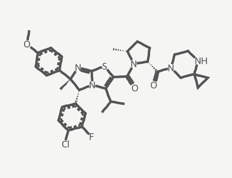 COc1ccc([C@]2(C)N=C3SC(C(=O)N4[C@H](C)CC[C@@H]4C(=O)N4CCNC5(CC5)C4)=C(C(C)C)N3[C@@H]2c2ccc(Cl)c(F)c2)cc1